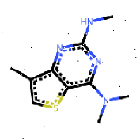 CNc1nc(N(C)C)c2scc(C)c2n1